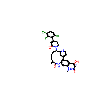 CNc1cc2c(cc1/C(O)=C\C=O)-c1ccnc(c1)C(N1CCC(c3c(F)ccc(Cl)c3F)=CC1=O)CCCC(C)C(=O)N2